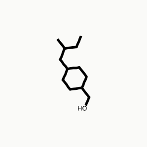 CCC(C)CC1CCC(CO)CC1